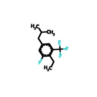 CCc1c(F)cc(CC(C)C)cc1C(F)(F)F